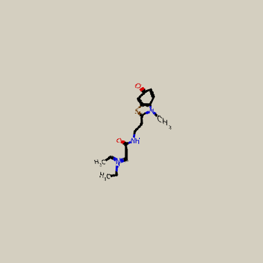 CCN(CC)CC(=O)NCCC1SC2=C(C=CC(=O)C2)N1C